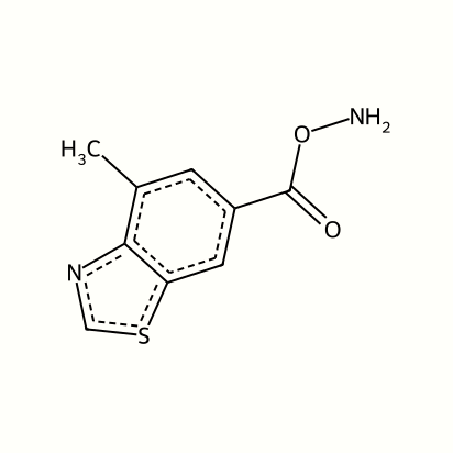 Cc1cc(C(=O)ON)cc2scnc12